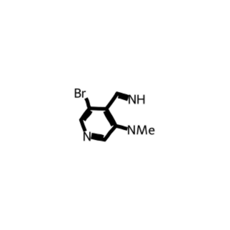 CNc1cncc(Br)c1C=N